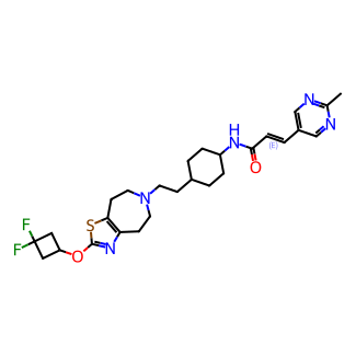 Cc1ncc(/C=C/C(=O)NC2CCC(CCN3CCc4nc(OC5CC(F)(F)C5)sc4CC3)CC2)cn1